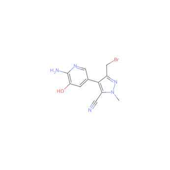 Cn1nc(CBr)c(-c2cnc(N)c(O)c2)c1C#N